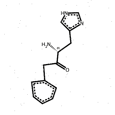 N[C@H](Cc1c[nH]cn1)C(=O)[CH]c1ccccc1